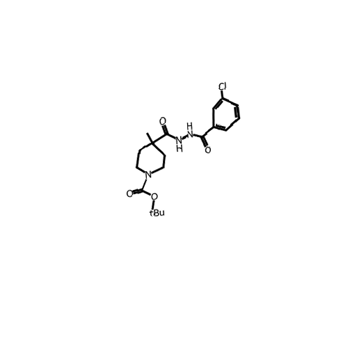 CC(C)(C)OC(=O)N1CCC(C)(C(=O)NNC(=O)c2cccc(Cl)c2)CC1